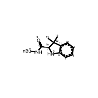 CCCCNC(=O)[C@@H]1Nc2ccccc2C1(C)C